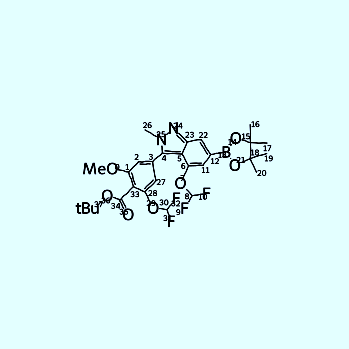 COc1cc(-c2c3c(OC(F)F)cc(B4OC(C)(C)C(C)(C)O4)cc3nn2C)cc(OC(F)F)c1C(=O)OC(C)(C)C